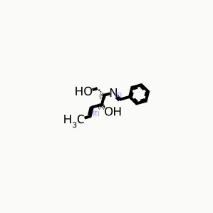 C/C=C/[C@@H](O)[C@H](CO)/N=C/c1ccccc1